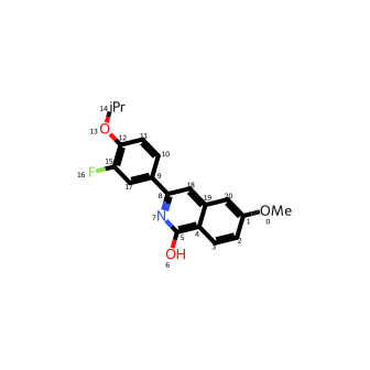 COc1ccc2c(O)nc(-c3ccc(OC(C)C)c(F)c3)cc2c1